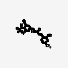 C#Cc1cc(CNC(=O)/C=C/c2ccc(C(F)(F)F)nc2CCC)cc(F)c1NS(C)(=O)=O